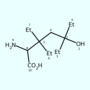 CCC(O)(CC)CC(CC)(CC)C(N)C(=O)O